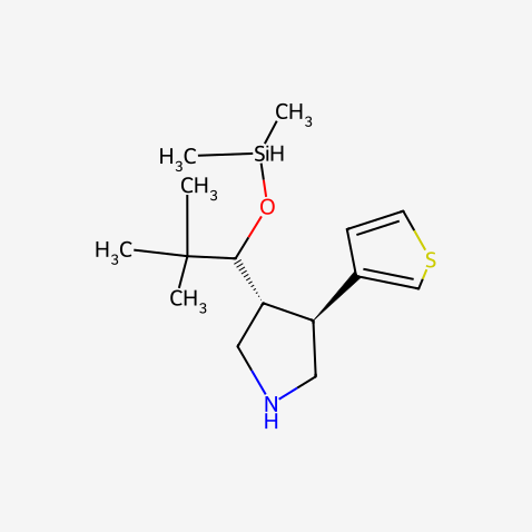 C[SiH](C)OC([C@H]1CNC[C@@H]1c1ccsc1)C(C)(C)C